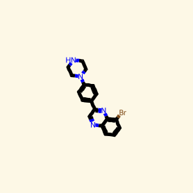 Brc1cccc2ncc(-c3ccc(N4CCNCC4)cc3)nc12